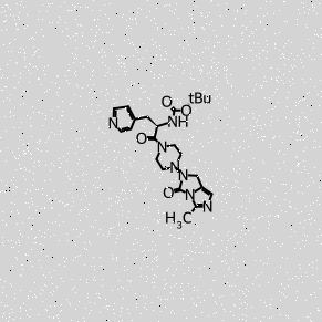 Cc1ncc2n1C(=O)N(N1CCN(C(=O)[C@@H](Cc3ccncc3)NC(=O)OC(C)(C)C)CC1)C2